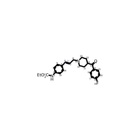 CCOC(=O)Nc1ccc(/C=C/CN2CCC(C(=O)c3ccc(F)cc3)CC2)cc1